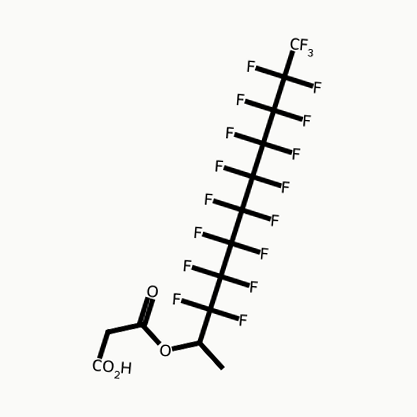 CC(OC(=O)CC(=O)O)C(F)(F)C(F)(F)C(F)(F)C(F)(F)C(F)(F)C(F)(F)C(F)(F)C(F)(F)C(F)(F)F